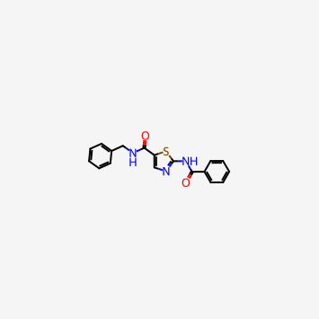 O=C(Nc1ncc(C(=O)NCc2ccccc2)s1)c1ccccc1